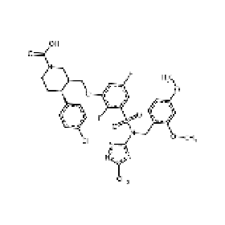 COc1ccc(CN(c2nc(C)ns2)S(=O)(=O)c2cc(F)cc(OCC3CN(C(=O)O)CC[C@@H]3c3ccc(Cl)cc3)c2F)c(OC)c1